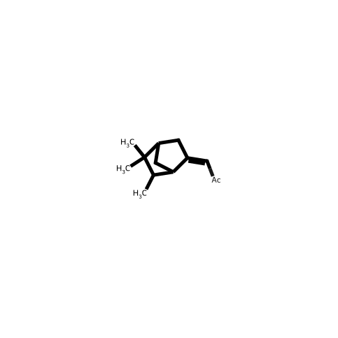 CC(=O)C=C1CC2CC1C(C)C2(C)C